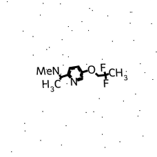 CNC(C)c1ccc(OCC(C)(F)F)cn1